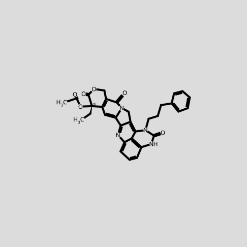 CC[C@@]1(OC(C)=O)C(=O)OCc2c1cc1n(c2=O)Cc2c-1nc1cccc3c1c2N(CCCc1ccccc1)C(=O)N3